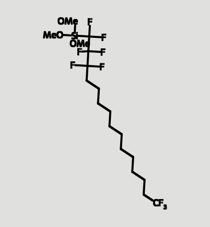 CO[Si](OC)(OC)C(F)(F)C(F)(F)C(F)(F)CCCCCCCCCCCC(F)(F)F